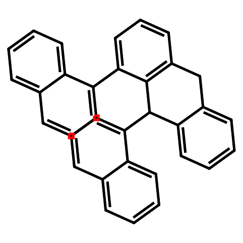 c1ccc2c(c1)Cc1cccc(-c3cccc4ccccc34)c1C2c1cccc2ccccc12